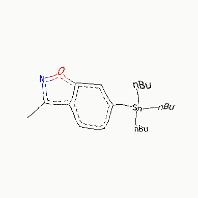 CCC[CH2][Sn]([CH2]CCC)([CH2]CCC)[c]1ccc2c(C)noc2c1